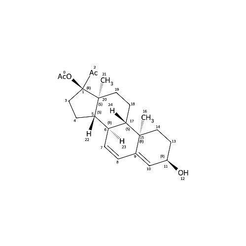 CC(=O)O[C@]1(C(C)=O)CC[C@H]2[C@@H]3C=CC4=C[C@H](O)CC[C@]4(C)[C@H]3CC[C@@]21C